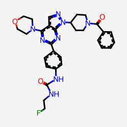 O=C(NCCF)Nc1ccc(-c2nc(N3CCOCC3)c3cnn(C4CCN(C(=O)c5ccccc5)CC4)c3n2)cc1